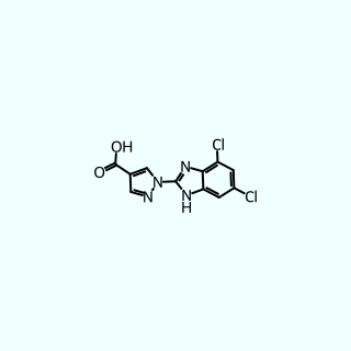 O=C(O)c1cnn(-c2nc3c(Cl)cc(Cl)cc3[nH]2)c1